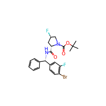 CC(C)(C)OC(=O)N1C[C@H](F)C[C@H]1C(=O)N[C@@H](c1ccccc1)c1ccc(Br)c(F)c1